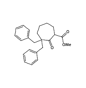 COC(=O)C1CCCCC(Cc2ccccc2)(Cc2ccccc2)C1=O